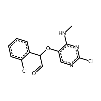 CNc1nc(Cl)ncc1OC(C=O)c1ccccc1Cl